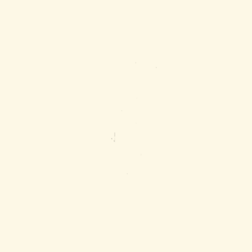 C=C(/C=C\C)C/C=C(/CCC)NC